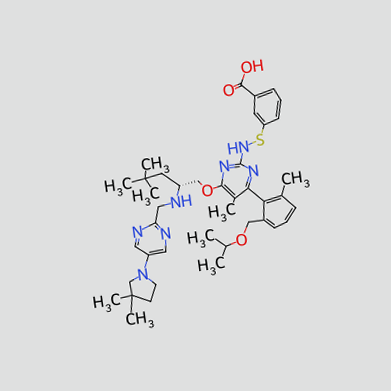 Cc1cccc(COC(C)C)c1-c1nc(NSc2cccc(C(=O)O)c2)nc(OC[C@@H](CC(C)(C)C)NCc2ncc(N3CCC(C)(C)C3)cn2)c1C